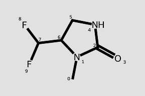 CN1C(=O)NCC1C(F)F